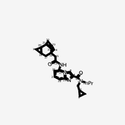 CCCN(CC1CC1)C(=O)c1cn2c(NC(=O)CC34CC5CC5C5(CC5C3)C4)cccc2n1